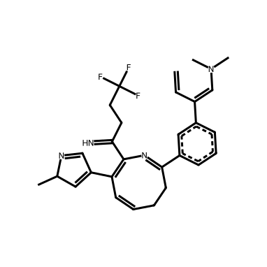 C=C/C(=C\N(C)C)c1cccc(/C2=N/C(C(=N)CCC(F)(F)F)=C(C3=CC(C)N=C3)\C=C/CC2)c1